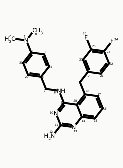 CN(C)c1ccc(CNc2nc(N)nc3cccc(Cc4ccc(F)c(F)c4)c23)cc1